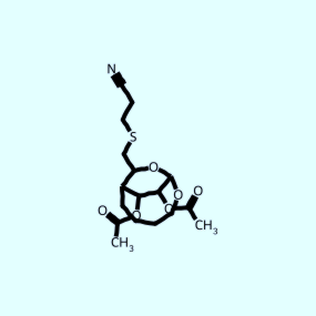 CC(=O)OC1C2OCCCCC(C(CSCCC#N)O2)C1OC(C)=O